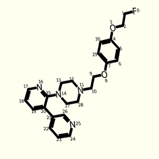 FCCOc1ccc(OCCN2CCN(c3ncccc3-c3cccnc3)CC2)cc1